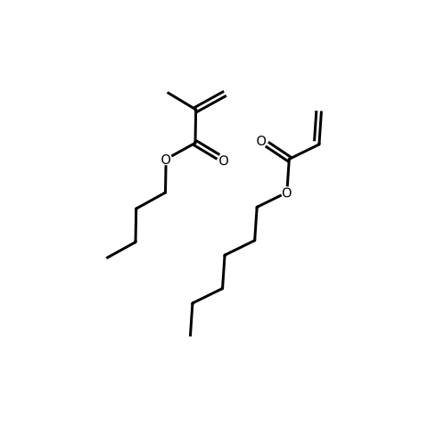 C=C(C)C(=O)OCCCC.C=CC(=O)OCCCCCC